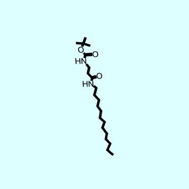 CCCCCCCCCCCCCNC(=O)CCNC(=O)OC(C)(C)C